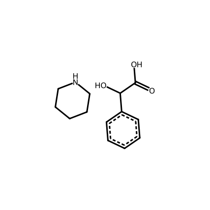 C1CCNCC1.O=C(O)C(O)c1ccccc1